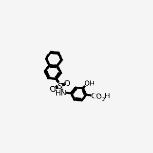 O=C(O)c1ccc(NS(=O)(=O)c2ccc3c(c2)CCCC3)cc1O